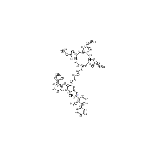 Cc1c(/C=C/c2cc(OCCOCCN3CCN(CC(=O)OC(C)(C)C)CCN(CC(=O)OC(C)(C)C)CCN(CC(=O)OC(C)(C)C)CC3)c(CN3CCCC[C@H]3C(=O)OC(C)(C)C)cc2C(F)(F)F)cccc1-c1ccccc1